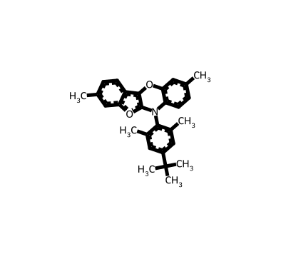 Cc1ccc2c(c1)Oc1c(oc3cc(C)ccc13)N2c1c(C)cc(C(C)(C)C)cc1C